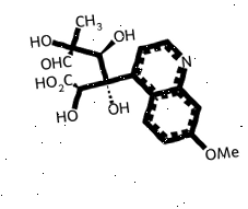 COc1ccc2c([C@@](O)([C@H](O)C(=O)O)[C@H](O)[C@@](C)(O)C=O)ccnc2c1